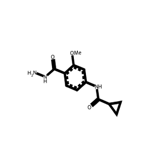 COc1cc(NC(=O)C2CC2)ccc1C(=O)NN